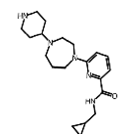 O=C(NCC1CC1)c1cccc(N2CCCN(C3CCNCC3)CC2)n1